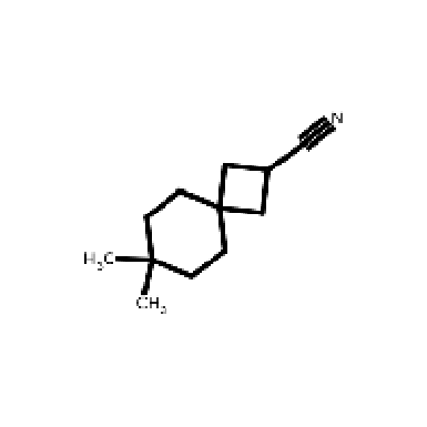 CC1(C)CCC2(CC1)CC(C#N)C2